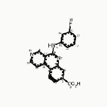 O=C(O)c1c#cc2c(c1)nc(Nc1cccc(F)c1)c1cnccc12